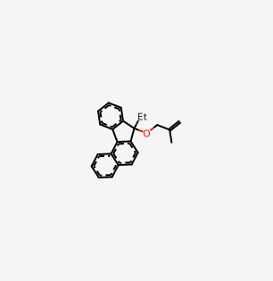 C=C(C)COC1(CC)c2ccccc2-c2c1ccc1ccccc21